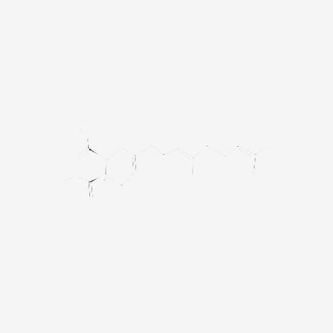 COC(=O)[C@H]1CC(CC/C=C(\C)CCC=C(C)C)=CC[C@H]1C(=O)OC